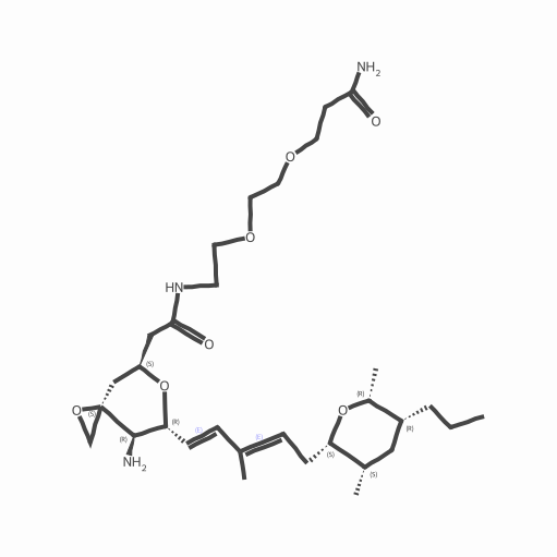 CCC[C@@H]1C[C@H](C)[C@H](C/C=C(C)/C=C/[C@H]2O[C@H](CC(=O)NCCOCCOCCC(N)=O)C[C@@]3(CO3)[C@@H]2N)O[C@@H]1C